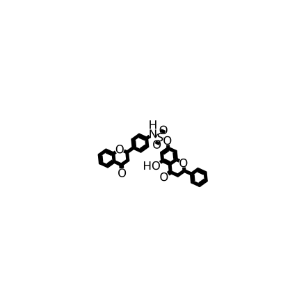 O=C1CC(c2ccc(NS(=O)(=O)Oc3cc(O)c4c(c3)OC(c3ccccc3)CC4=O)cc2)Oc2ccccc21